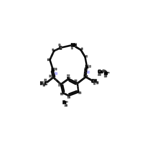 C/C1=N/CCNCCC/N=C(\C)c2cccc1n2.[Br-].[Br-].[Co+2]